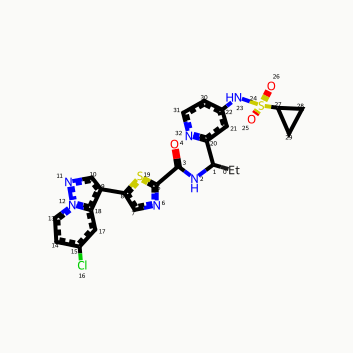 CCC(NC(=O)c1ncc(-c2cnn3ccc(Cl)cc23)s1)c1cc(NS(=O)(=O)C2CC2)ccn1